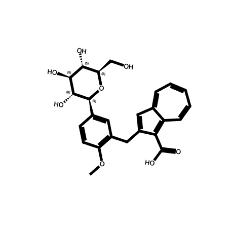 COc1ccc([C@@H]2O[C@H](CO)[C@@H](O)[C@H](O)[C@H]2O)cc1Cc1cc2cccccc-2c1C(=O)O